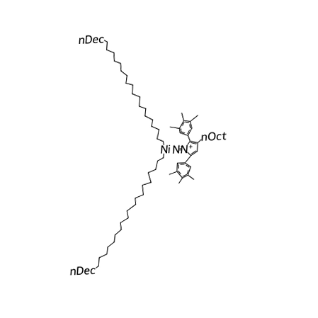 CCCCCCCCC1=C(c2cc(C)c(C)c(C)c2)[N+](=[N-])C(c2cc(C)c(C)c(C)c2)=C1.CCCCCCCCCCCCCCCCCCCCCCCCCCCC[CH2][Ni][CH2]CCCCCCCCCCCCCCCCCCCCCCCCCCCC